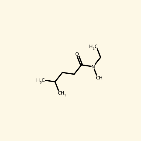 CCN(C)C(=O)CCC(C)C